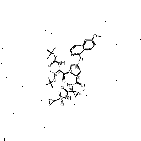 COc1ccc2c(O[C@@H]3C[C@@H](C(=O)N[C@]4(C(=O)NS(=O)(=O)C5CC5)C[C@H]4C)N(C(=O)[C@@H](NC(=O)OC(C)(C)C)[C@H](C)OC(C)(C)C)C3)nccc2c1